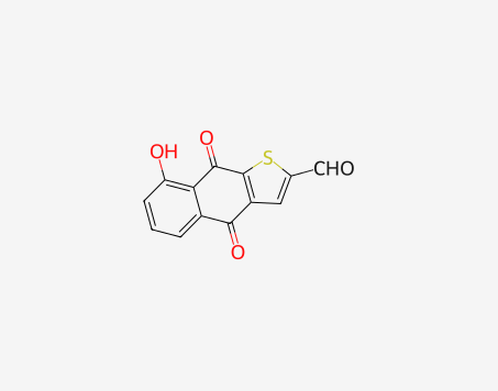 O=Cc1cc2c(s1)C(=O)c1c(O)cccc1C2=O